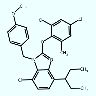 CCC(CC)c1ccc(Cl)c2c1nc(Oc1c(C)cc(Cl)cc1Cl)n2Cc1ccc(OC)cc1